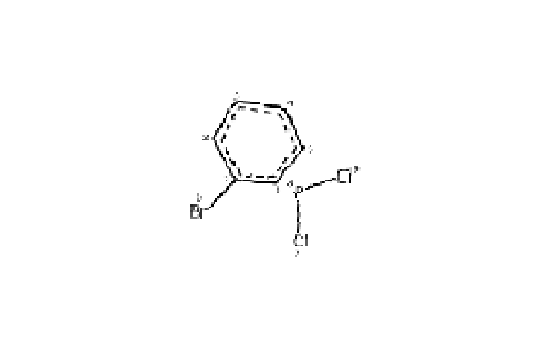 Brc1ccccc1.Cl[P]Cl